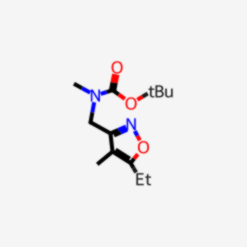 CCc1onc(CN(C)C(=O)OC(C)(C)C)c1C